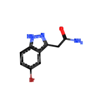 NC(=O)Cc1n[nH]c2ccc(Br)cc12